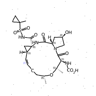 C[C@@H]1CC/C=C\[C@@H]2C[C@@]2(C(=O)NS(=O)(=O)C2(C)CC2)NC(=O)[C@@H]2C[C@@H](O)CN2C(=O)[C@@H](NC(=O)O)[C@H](C)O1